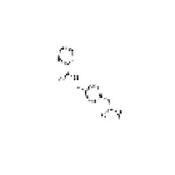 COC(=O)Cc1ccc(COC(=O)c2ccccc2)cc1